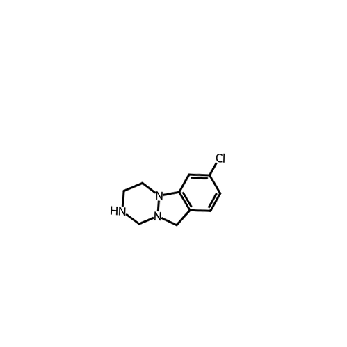 Clc1ccc2c(c1)N1CCNCN1C2